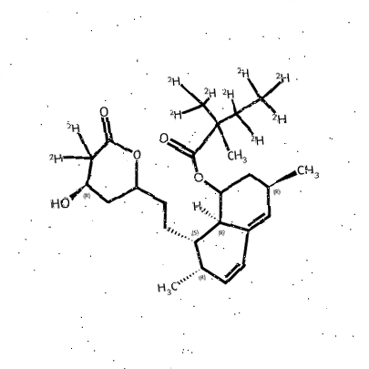 [2H]C1([2H])C(=O)OC(CC[C@@H]2[C@@H]3C(=C[C@H](C)CC3OC(=O)C(C)(C([2H])([2H])[2H])C([2H])([2H])C([2H])([2H])[2H])C=C[C@@H]2C)C[C@H]1O